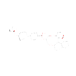 C=CC(=O)OC1CCC(C2CCC(C(=O)OC3COC4CCC5CCCCC5C4C4C(CCC5CCCCC54)OC3)CC2)CC1